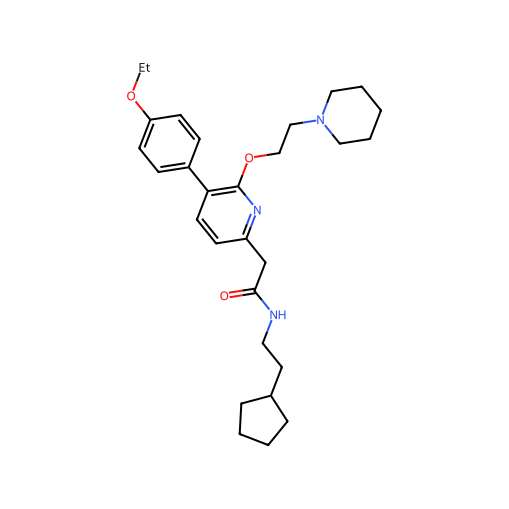 CCOc1ccc(-c2ccc(CC(=O)NCCC3CCCC3)nc2OCCN2CCCCC2)cc1